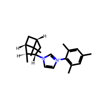 Cc1cc(C)c(-[n+]2ccn([C@H]3C[C@H]4C[C@@H]([C@@H]3C)C4(C)C)c2)c(C)c1